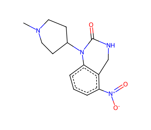 CN1CCC(N2C(=O)NCc3c2cccc3[N+](=O)[O-])CC1